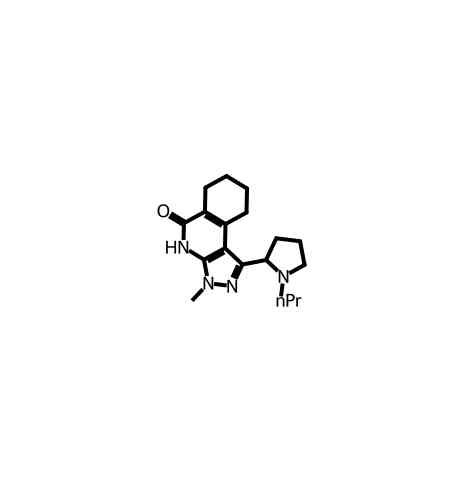 CCCN1CCCC1c1nn(C)c2[nH]c(=O)c3c(c12)CCCC3